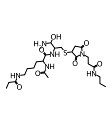 CCCNC(=O)CCN1C(=O)CC(SCC(NC(=O)C(CCCCNC(=O)CC)NC(C)=O)C(N)O)C1=O